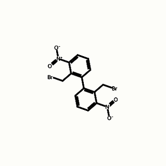 O=[N+]([O-])c1cccc(-c2cccc([N+](=O)[O-])c2CBr)c1CBr